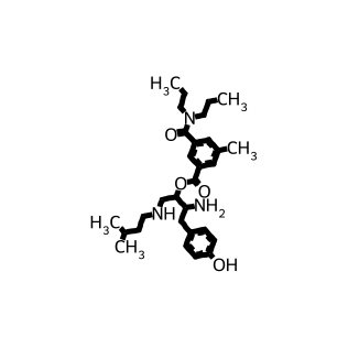 CCCN(CCC)C(=O)c1cc(C)cc(C(=O)OC(CNCCC(C)C)C(N)Cc2ccc(O)cc2)c1